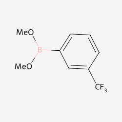 COB(OC)c1cccc(C(F)(F)F)c1